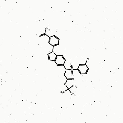 CC(C)(C)OC(=O)CN(c1ccc2c(ccn2-c2cccc(C(N)=O)c2)c1)S(=O)(=O)c1cccc(Cl)c1